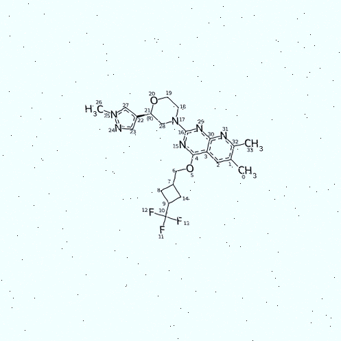 Cc1cc2c(OCC3CC(C(F)(F)F)C3)nc(N3CCO[C@H](c4cnn(C)c4)C3)nc2nc1C